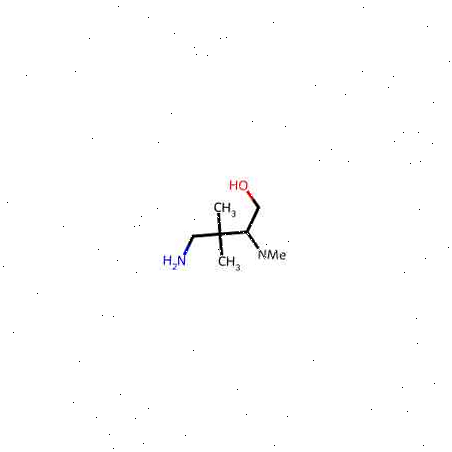 CNC(CO)C(C)(C)CN